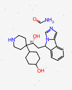 NC=O.OC1CCC(C2([C@H](O)CC3c4ccccc4-c4cncn43)CCNCC2)CC1